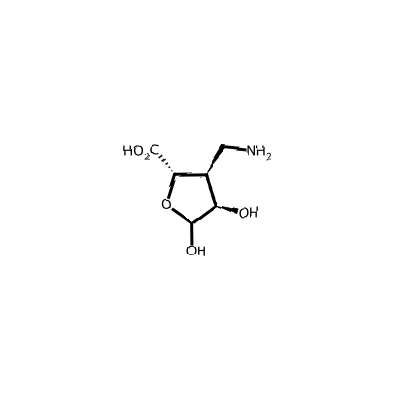 NC[C@@H]1[C@@H](C(=O)O)OC(O)[C@@H]1O